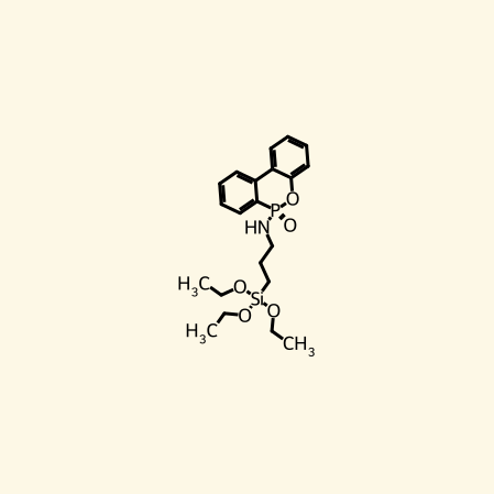 CCO[Si](CCCNP1(=O)Oc2ccccc2-c2ccccc21)(OCC)OCC